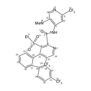 CCS(=O)(=O)c1c(C(=O)Nc2cc(C(F)(F)F)ncc2NC)ncc(C(F)(F)F)c1-c1ccccc1-c1ccc(C(F)(F)F)cc1